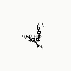 CCN1CCC(c2ccc(C(=O)Nc3cc(N(CCCOC)c4ccc5c(ccn5C(=O)NC)c4)ccn3)cc2)CC1